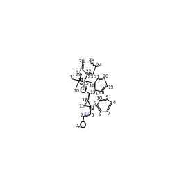 CO/C=C/[C@@]1(c2ccccc2)C[C@H]1CO[Si](c1ccccc1)(c1ccccc1)C(C)(C)C